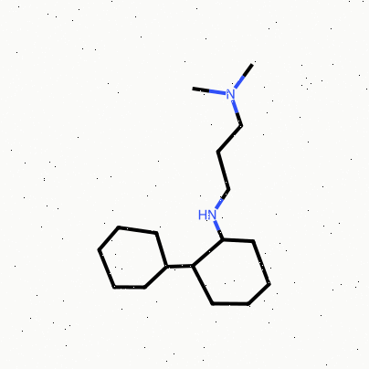 CN(C)CCCNC1CCCCC1C1CCCCC1